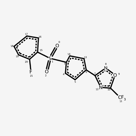 O=S(=O)(c1ccc(-c2noc(C(F)(F)F)n2)cc1)c1ccccc1F